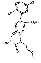 COc1cn(C(CCOC(C)C)C(=O)OC(C)(C)C)c(=O)cc1-c1cc(Cl)ccc1C#N